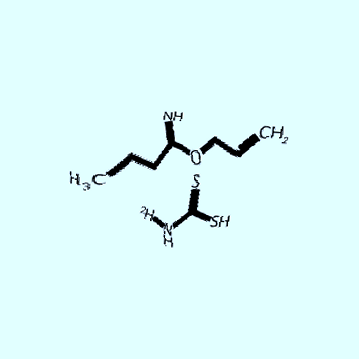 C=CCOC(=N)CCC.[2H]NC(=S)S